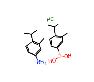 Cc1cc(B(O)O)ccc1C(C)C.Cc1cc(N)ccc1C(C)C.Cl